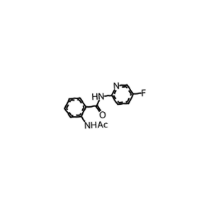 CC(=O)Nc1ccccc1C(=O)Nc1ccc(F)cn1